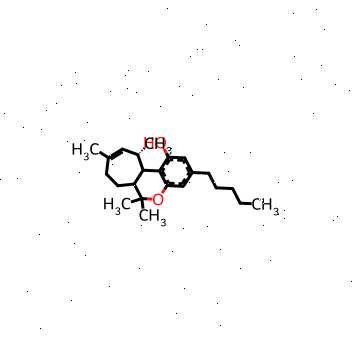 CCCCCc1cc(O)c2c(c1)OC(C)(C)C1CCC(C)=C[C@H](C)C21